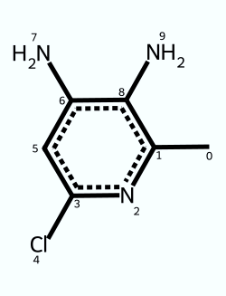 Cc1nc(Cl)cc(N)c1N